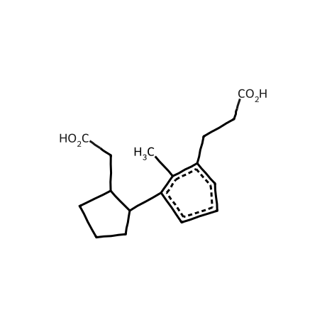 Cc1c(CCC(=O)O)cccc1C1CCCC1CC(=O)O